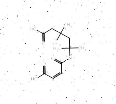 CC(C)(CC(=O)O)CC(C)(C)NC(=O)/C=C\C(=O)O